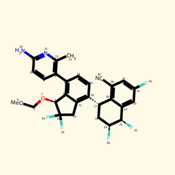 COCO[C@H]1c2c(-c3ccc(N)nc3C)ccc([C@H]3C[C@H](F)[C@H](F)c4cc(F)cc(C#N)c43)c2CC1(F)F